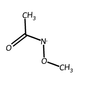 CO[N]C(C)=O